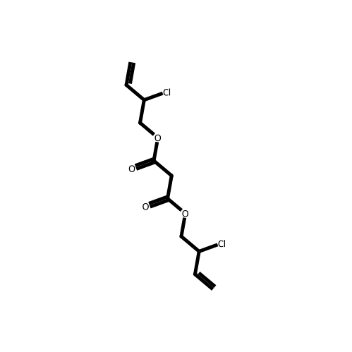 C=CC(Cl)COC(=O)CC(=O)OCC(Cl)C=C